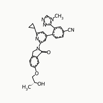 C[C@@H](O)COc1ccc2c(c1)C(=O)N(c1cc(-c3ccc(C#N)cc3-c3nncn3C)cc(C3CC3)n1)C2